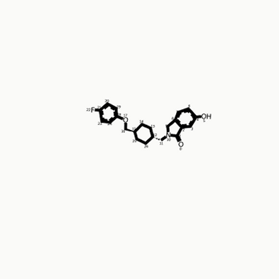 O=C1c2cc(O)ccc2CN1C[C@H]1CC[C@H](COc2ccc(F)cc2)CC1